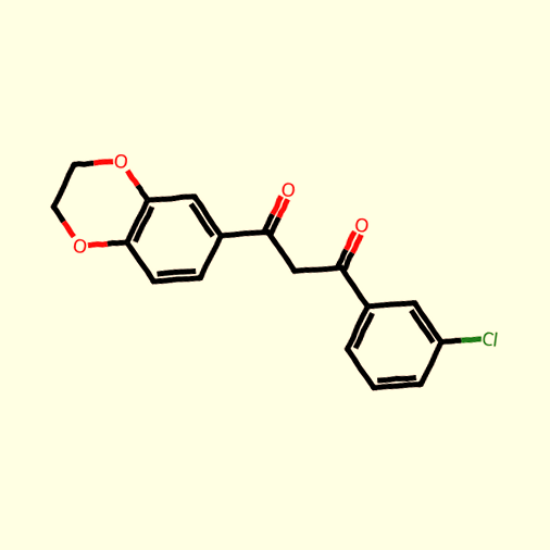 O=C(CC(=O)c1ccc2c(c1)OCCO2)c1cccc(Cl)c1